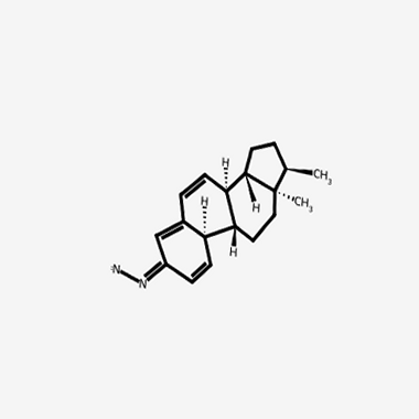 C[C@@H]1CC[C@H]2[C@@H]3C=CC4=CC(=N[N])C=C[C@@H]4[C@H]3CC[C@]12C